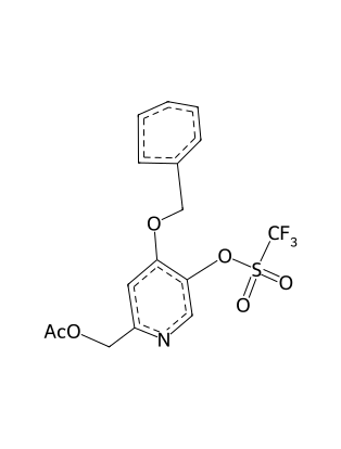 CC(=O)OCc1cc(OCc2ccccc2)c(OS(=O)(=O)C(F)(F)F)cn1